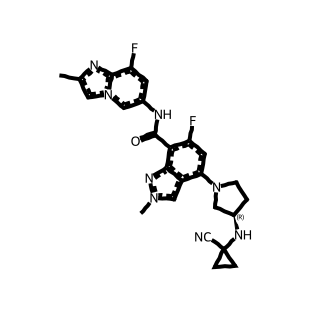 Cc1cn2cc(NC(=O)c3c(F)cc(N4CC[C@@H](NC5(C#N)CC5)C4)c4cn(C)nc34)cc(F)c2n1